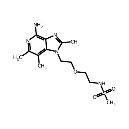 Cc1nc(N)c2nc(C)n(CCOCCNS(C)(=O)=O)c2c1C